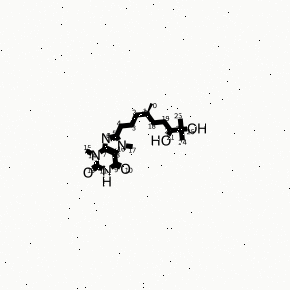 C[C@H](CCCc1nc2c(c(=O)[nH]c(=O)n2C)n1C)CCC(O)C(C)(C)O